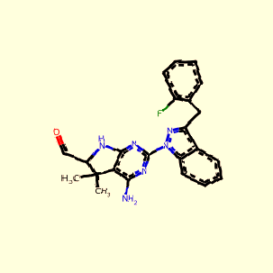 CC1(C)c2c(N)nc(-n3nc(Cc4ccccc4F)c4ccccc43)nc2NC1C=O